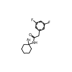 CC(=O)C1(NC(=O)Cc2cc(F)cc(F)c2)CCCCC1